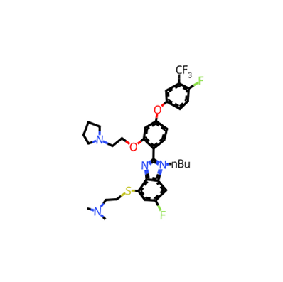 CCCCn1c(-c2ccc(Oc3ccc(F)c(C(F)(F)F)c3)cc2OCCN2CCCC2)nc2c(SCCN(C)C)cc(F)cc21